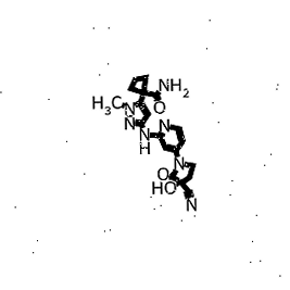 Cn1nc(Nc2cc(N3CC[C@](O)(C#N)C3=O)ccn2)cc1C1(C(N)=O)CCC1